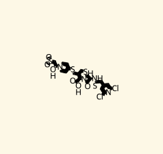 O=C(O)C1=C(CSc2cc[n+](C(O)C=S(=O)=O)cc2)CS[C@@H]2[C@@H](NC(=S)Cc3cc(Cl)nc(Cl)c3)C(=O)N12